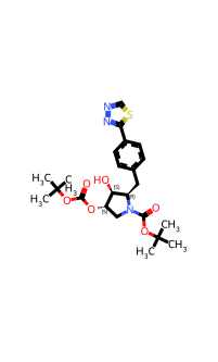 CC(C)(C)OC(=O)O[C@H]1CN(C(=O)OC(C)(C)C)[C@H](Cc2ccc(-c3nncs3)cc2)[C@@H]1O